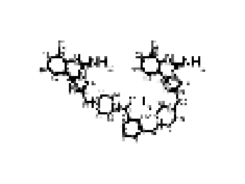 CC(c1cccc(CN2CCN(Cc3cn4c(N)nc5c(F)cccc5c4n3)CC2)c1)N1CCN(Cc2cn3c(N)nc4c(F)cccc4c3n2)CC1